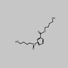 O=C(OCCCCO)c1ccc[c]([Co](=[O])[CH2]CCCO)c1